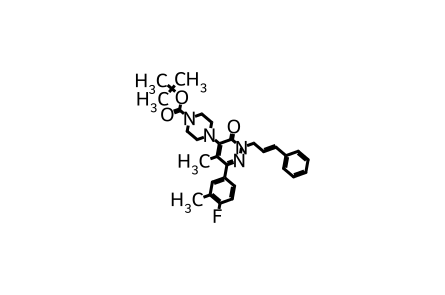 Cc1cc(-c2nn(CC=Cc3ccccc3)c(=O)c(N3CCN(C(=O)OC(C)(C)C)CC3)c2C)ccc1F